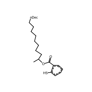 CCCCCCCCCCCCCCCCCCC(C)OC(=O)c1ccccc1S